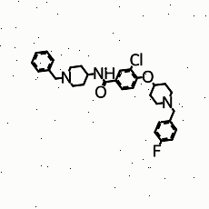 O=C(NC1CCN(Cc2ccccc2)CC1)c1ccc(OC2CCN(Cc3ccc(F)cc3)CC2)c(Cl)c1